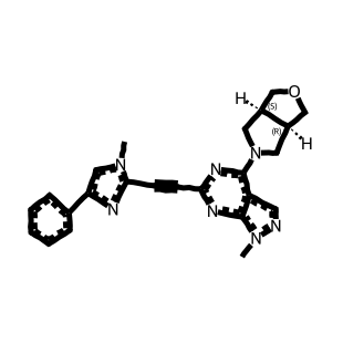 Cn1cc(-c2ccccc2)nc1C#Cc1nc(N2C[C@H]3COC[C@H]3C2)c2cnn(C)c2n1